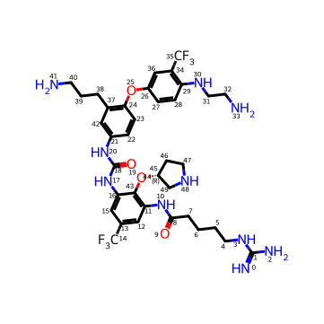 N=C(N)NCCCCC(=O)Nc1cc(C(F)(F)F)cc(NC(=O)Nc2ccc(Oc3ccc(NCCN)c(C(F)(F)F)c3)c(CCCN)c2)c1O[C@@H]1CCNC1